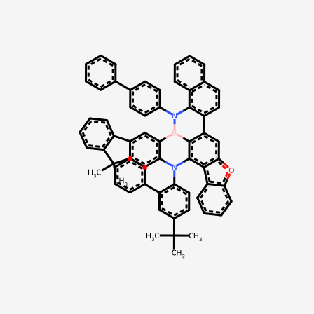 CC(C)(C)c1ccc(N2c3cc4c(cc3B3c5c(cc6oc7ccccc7c6c52)-c2ccc5ccccc5c2N3c2ccc(-c3ccccc3)cc2)-c2ccccc2C4(C)C)c(-c2ccccc2)c1